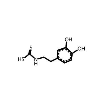 Oc1ccc(CCNC(=S)S)cc1O